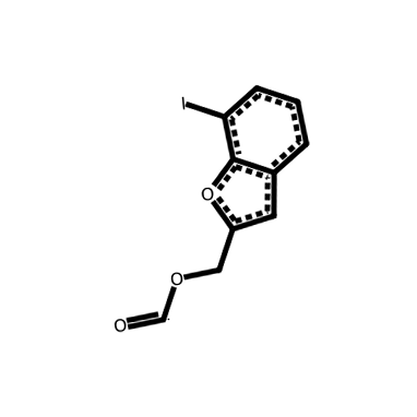 O=[C]OCc1cc2cccc(I)c2o1